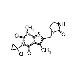 Cc1c(CN2CCNC2=O)sc2c1c(=O)n(C1(Cl)CC1)c(=O)n2C